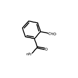 CCCC(=O)c1ccccc1[C]=O